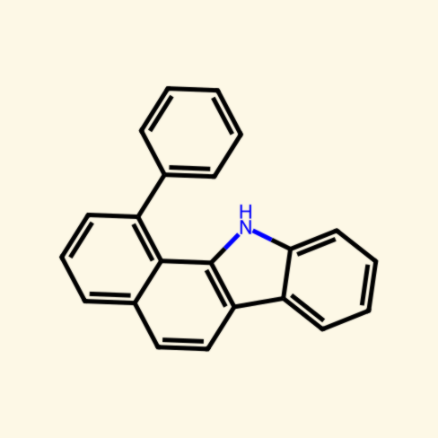 c1ccc(-c2cccc3ccc4c5ccccc5[nH]c4c23)cc1